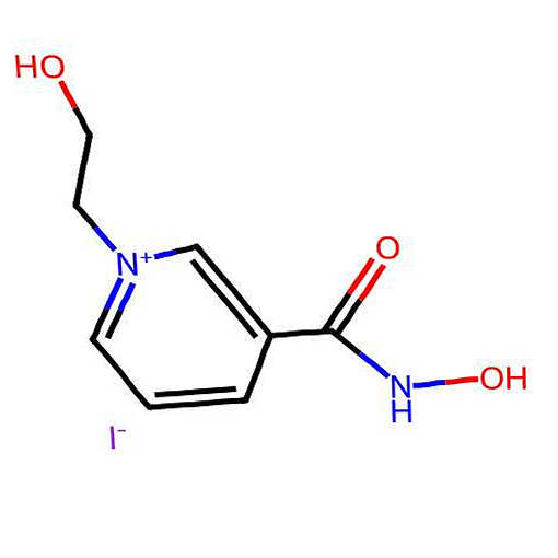 O=C(NO)c1ccc[n+](CCO)c1.[I-]